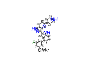 COc1cc(F)cc(-c2cccc3[nH]c(-c4n[nH]c5ccc(C6=CCNCC6)nc45)cc23)c1